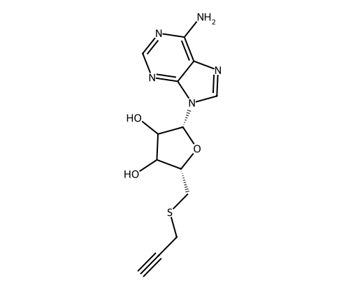 C#CCSC[C@H]1O[C@@H](n2cnc3c(N)ncnc32)C(O)C1O